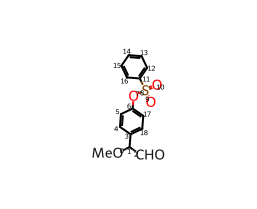 COC(C=O)c1ccc(OS(=O)(=O)c2ccccc2)cc1